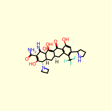 N=C1C(C(N)=O)=C(O)[C@@H](N2CCC2)[C@@H]2C[C@@H]3Cc4c(c(O)cc(C5CCCN5)c4C(F)(F)F)C(=O)C3=C(O)[C@]12O